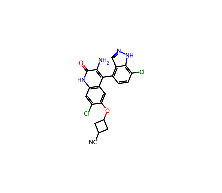 N#CC1CC(Oc2cc3c(-c4ccc(Cl)c5[nH]ncc45)c(N)c(=O)[nH]c3cc2Cl)C1